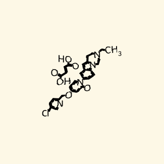 CCN1CCc2cc3cc(-n4ccc(OCc5ccc(Cl)cn5)cc4=O)ccc3n2CC1.O=C(O)C=CC(=O)O